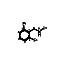 Fc1cccc(F)c1CNI